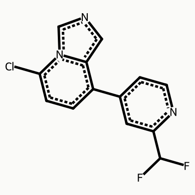 FC(F)c1cc(-c2ccc(Cl)n3cncc23)ccn1